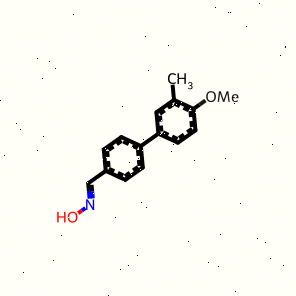 COc1ccc(-c2ccc(/C=N/O)cc2)cc1C